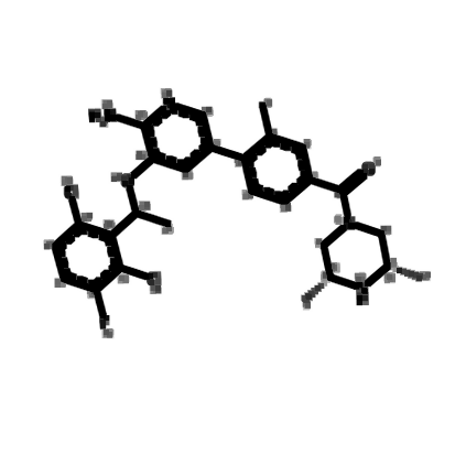 Cc1cc(C(=O)N2C[C@@H](C)N[C@@H](C)C2)ccc1-c1cnc(N)c(OC(C)c2c(Cl)ccc(F)c2Cl)c1